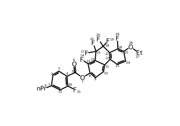 CCCc1ccc(C(=O)Oc2ccc3c(c2F)C(F)(F)C(F)(F)c2c-3ccc(OCC)c2F)c(F)c1